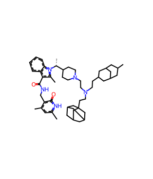 Cc1cc(C)c(CNC(=O)c2c(C)n([C@H](C)C3CCN(CCN(CCC4CC5CC(C)CC(C4)C5)CCC45CC6CC(CC(C6)C4)C5)CC3)c3ccccc23)c(=O)[nH]1